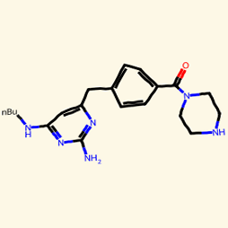 CCCCNc1cc(Cc2ccc(C(=O)N3CCNCC3)cc2)nc(N)n1